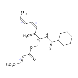 C=C(/C=C\C=C/C)[C@@H](COC(=O)/C=C/C(=O)OCC)NC(=O)C1CCCCC1